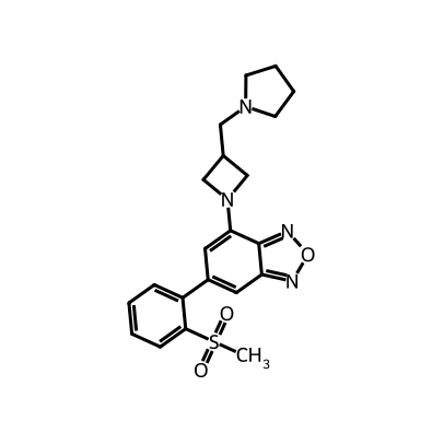 CS(=O)(=O)c1ccccc1-c1cc(N2CC(CN3CCCC3)C2)c2nonc2c1